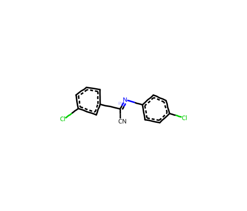 N#C/C(=N\c1ccc(Cl)cc1)c1cccc(Cl)c1